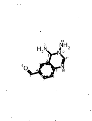 NC1c2cc(C=O)ccc2N=CN1N